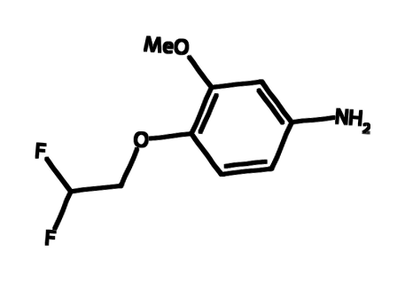 COc1cc(N)ccc1OCC(F)F